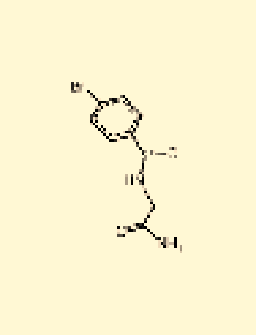 NC(=O)CN[S+]([O-])c1ccc(Br)cc1